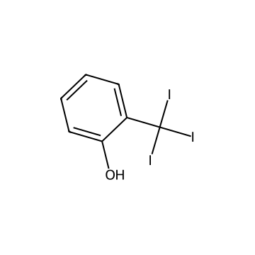 Oc1ccccc1C(I)(I)I